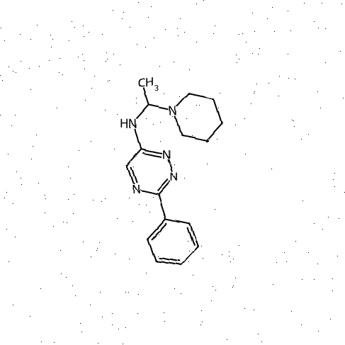 CC(Nc1cnc(-c2ccccc2)nn1)N1CCCCC1